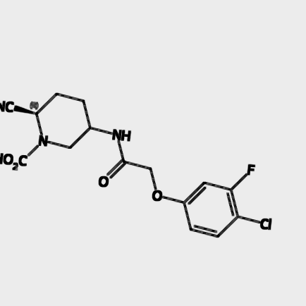 N#C[C@H]1CCC(NC(=O)COc2ccc(Cl)c(F)c2)CN1C(=O)O